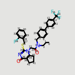 CCCN(Cc1ccc(-c2ccc(C(F)(F)F)cc2)cc1)C(=O)Cn1c(SCc2ccccc2F)nc(=O)c2c1CCC2